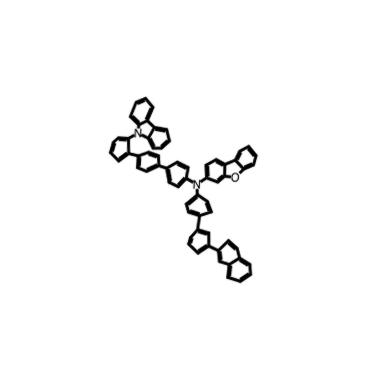 c1cc(-c2ccc(N(c3ccc(-c4ccc(-c5ccccc5-n5c6ccccc6c6ccccc65)cc4)cc3)c3ccc4c(c3)oc3ccccc34)cc2)cc(-c2ccc3ccccc3c2)c1